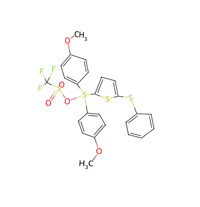 COc1ccc(S(OS(=O)(=O)C(F)(F)F)(c2ccc(OC)cc2)c2ccc(Sc3ccccc3)s2)cc1